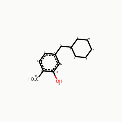 O=C(O)c1ccc(CC2CCCCC2)cc1O